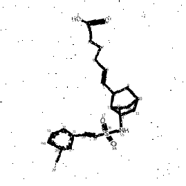 O=C(O)CCCC=CC1CC2CCC1C(NS(=O)(=O)C=Cc1cccc(I)c1)C2